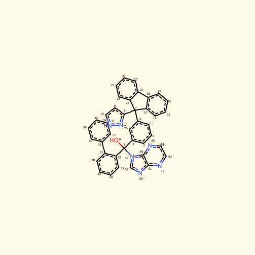 OC(c1cccc(C2(c3cc[nH]n3)c3ccccc3-c3ccccc32)c1)(c1ccccc1-c1ccccc1)n1cnc2nccnc21